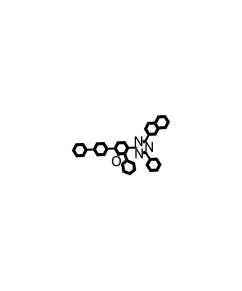 c1ccc(-c2ccc(-c3ccc(-c4nc(-c5ccccc5)nc(-c5ccc6ccccc6c5)n4)c4c3oc3ccccc34)cc2)cc1